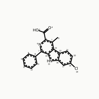 Cc1c(C(=O)O)nc(-c2ccccc2)c2[nH]c3cc(Cl)ccc3c12